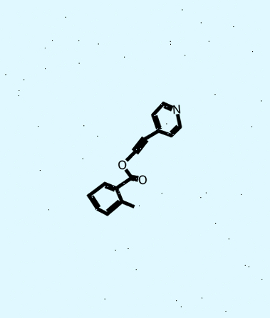 Cc1ccccc1C(=O)OC#Cc1ccncc1